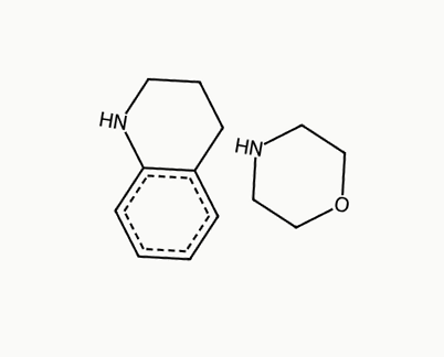 C1COCCN1.c1ccc2c(c1)CCCN2